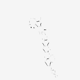 O=C(NCc1cc2nc(N3CCOc4c(N5CC6(CC6)C5)ccnc43)ccc2cn1)c1cc(F)c2c(c1)S(=O)(=O)[C@@H](F)COC2